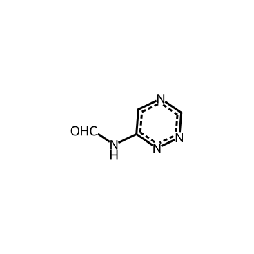 O=CNc1cncnn1